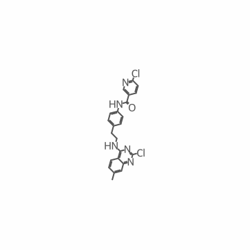 Cc1ccc2c(NCCc3ccc(NC(=O)c4ccc(Cl)nc4)cc3)nc(Cl)nc2c1